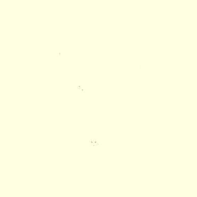 COc1cccc(C2(CNC(=O)OC(C)(C)C)C3CC4CC(C3)CC2C4)c1